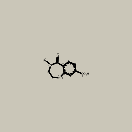 CC(C)N1CCNc2cc(C(=O)O)ccc2C1=O